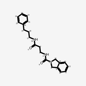 O=C(CCNC(=O)N1Cc2ccccc2C1)NCCCc1ccccc1